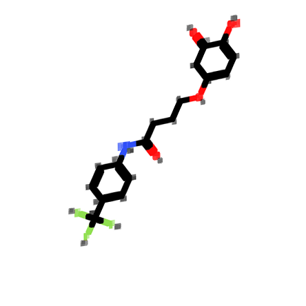 O=C(CCCOC1=CC=C(O)C(=O)C1)Nc1ccc(C(F)(F)F)cc1